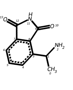 CC(N)c1cccc2c1C(=O)NC2=O